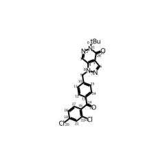 CC(C)(C)n1ncc2c(cnn2Cc2ccc(C(=O)c3ccc(Cl)cc3Cl)cc2)c1=O